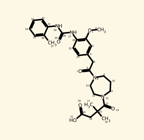 COc1cc(CC(=O)N2CCCN(C(=O)C(C)(C)CC(=O)O)CC2)ccc1NC(=O)Nc1ccccc1C